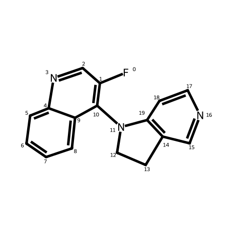 Fc1cnc2ccccc2c1N1CCc2cnccc21